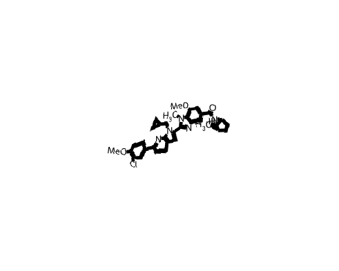 COc1ccc(-c2ccc3cc(-c4nc5cc(C(=O)N6CC7CCC6[C@@H]7C)cc(OC)c5n4C)n(CC4CC4)c3n2)cc1Cl